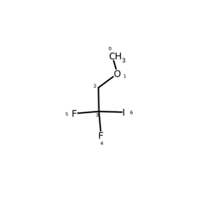 COCC(F)(F)I